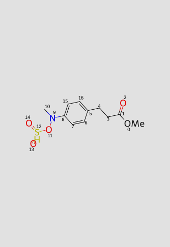 COC(=O)CCc1ccc(N(C)O[SH](=O)=O)cc1